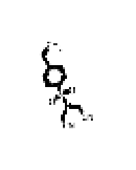 C=Cc1ccc(S(=O)(=O)N(CC#N)CC#N)cc1